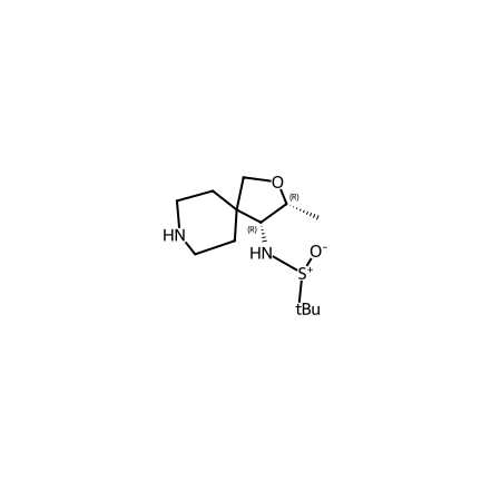 C[C@H]1OCC2(CCNCC2)[C@H]1N[S+]([O-])C(C)(C)C